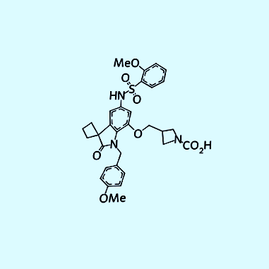 COc1ccc(CN2C(=O)C3(CCC3)c3cc(NS(=O)(=O)c4ccccc4OC)cc(OCC4CN(C(=O)O)C4)c32)cc1